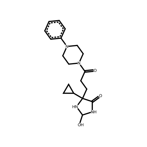 O=C(CCC1(C2CC2)NC(O)NC1=O)N1CCN(c2ccccc2)CC1